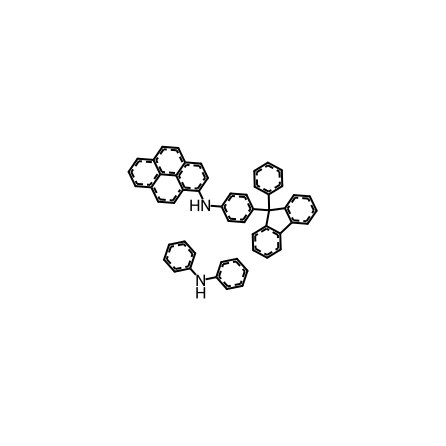 c1ccc(C2(c3ccc(Nc4ccc5ccc6cccc7ccc4c5c67)cc3)c3ccccc3-c3ccccc32)cc1.c1ccc(Nc2ccccc2)cc1